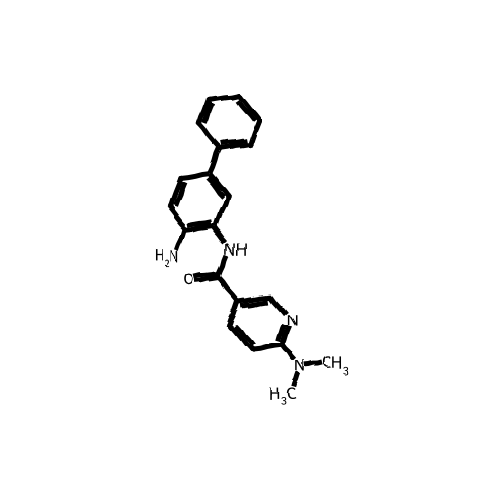 CN(C)c1ccc(C(=O)Nc2cc(-c3ccccc3)ccc2N)cn1